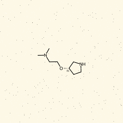 CN(C)CCO[C@H]1CCNC1